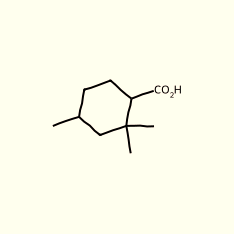 CC1CCC(C(=O)O)C(C)(C)C1